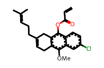 C=CC(=O)Oc1c2c(c(OC)c3cc(Cl)ccc13)CC=C(CCC=C(C)C)C2